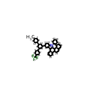 Cc1ccc(-c2cc(-c3ccc(C(F)(F)F)cc3)cc(-c3ccc4c(c3)c3c5ccccc5c5ccc6ccccc6c5c3n4-c3ccccc3)c2)cc1